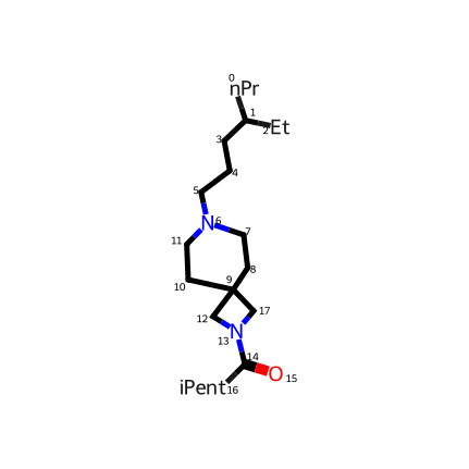 CCCC(CC)CCCN1CCC2(CC1)CN(C(=O)C(C)CCC)C2